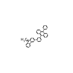 Cn1c2ccccc2c2cc(-c3cccc(-c4c5ccccc5c(-c5ccccc5)c5ccccc45)c3)ccc21